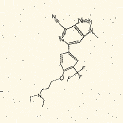 CCN(CC)CCCOc1ccc(-c2cc3c(nnn3C)c(C#N)n2)cc1C(F)(F)F